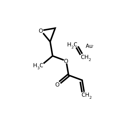 C=C.C=CC(=O)OC(C)C1CO1.[Au]